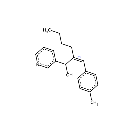 CCCC/C(=C/c1ccc(C)cc1)C(O)c1cccnc1